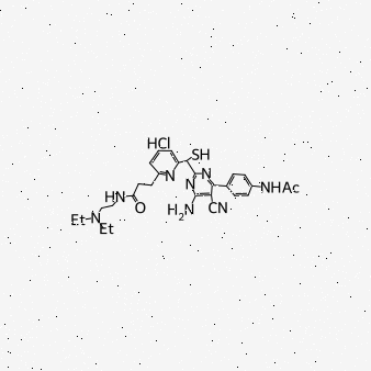 CCN(CC)CCNC(=O)CCc1cccc(C(S)c2nc(N)c(C#N)c(-c3ccc(NC(C)=O)cc3)n2)n1.Cl